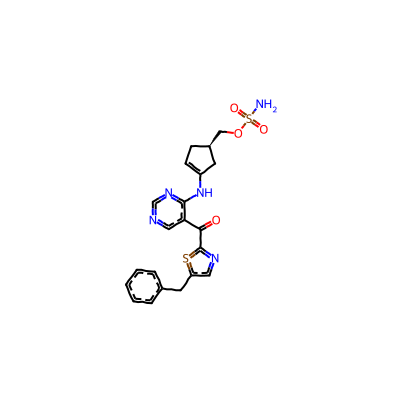 NS(=O)(=O)OC[C@@H]1CC=C(Nc2ncncc2C(=O)c2ncc(Cc3ccccc3)s2)C1